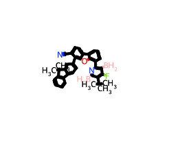 Bc1nc(-c2cccc3c2oc2c(-c4ccc5c(c4)C(C)(C)c4c#cccc4-5)c(C#N)ccc23)c(B)c(F)c1C(C)(C)C